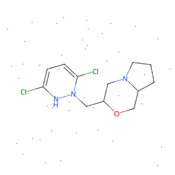 ClC1=CC=C(Cl)N(CC2CN3CCCC3CO2)N1